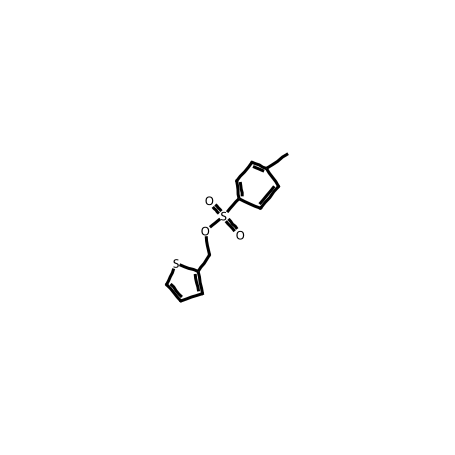 Cc1ccc(S(=O)(=O)OCc2cccs2)cc1